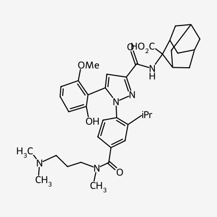 COc1cccc(O)c1-c1cc(C(=O)NC2(C(=O)O)C3CC4CC(C3)CC2C4)nn1-c1ccc(C(=O)N(C)CCCN(C)C)cc1C(C)C